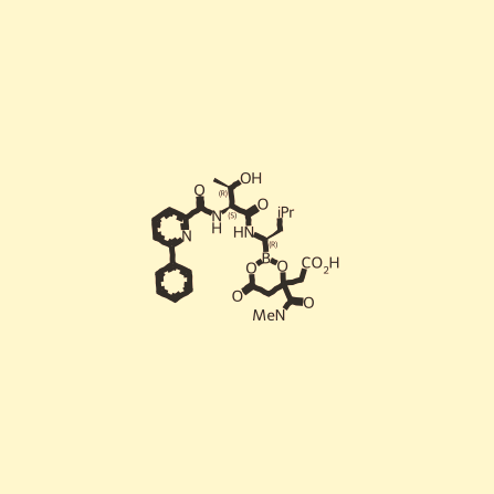 CNC(=O)C1(CC(=O)O)CC(=O)OB([C@H](CC(C)C)NC(=O)[C@@H](NC(=O)c2cccc(-c3ccccc3)n2)[C@@H](C)O)O1